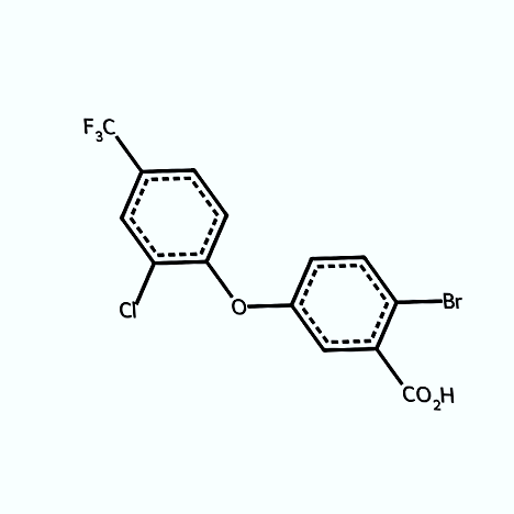 O=C(O)c1cc(Oc2ccc(C(F)(F)F)cc2Cl)ccc1Br